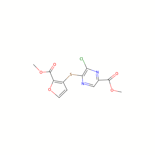 COC(=O)c1cnc(Sc2ccoc2C(=O)OC)c(Cl)n1